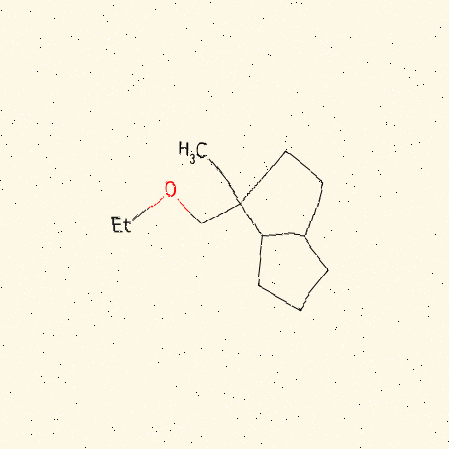 CCOCC1(C)CCC2CCCC21